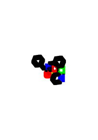 O=S(=O)(c1cccnc1Cl)N(Cc1ccccc1)Cc1ccccc1